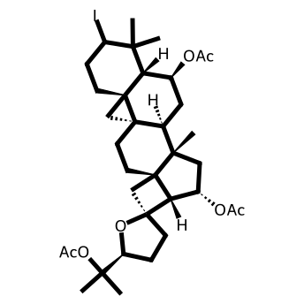 CC(=O)O[C@H]1C[C@@]2(C)[C@@H]3C[C@H](OC(C)=O)[C@H]4C(C)(C)C(I)CC[C@@]45C[C@@]35CC[C@@]23C[C@@]2(CC[C@@H](C(C)(C)OC(C)=O)O2)[C@@H]13